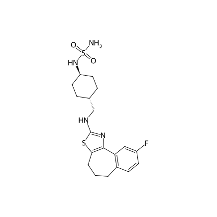 NS(=O)(=O)N[C@H]1CC[C@H](CNc2nc3c(s2)CCCc2ccc(F)cc2-3)CC1